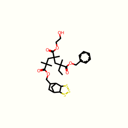 CCC(C)(CC(C)(CC(C)(C)C(=O)OCC1CC2CC1C1SSSC21)C(=O)OCCO)C(=O)OCc1ccccc1